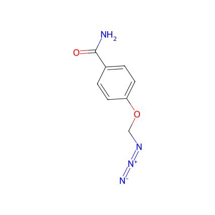 [N-]=[N+]=NCOc1ccc(C(N)=O)cc1